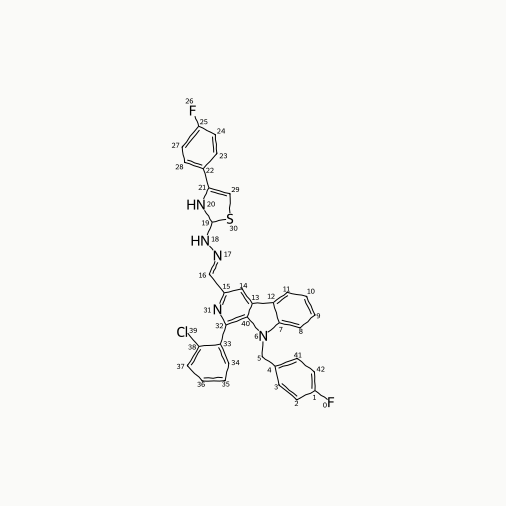 Fc1ccc(Cn2c3ccccc3c3cc(/C=N/NC4NC(c5ccc(F)cc5)=CS4)nc(-c4ccccc4Cl)c32)cc1